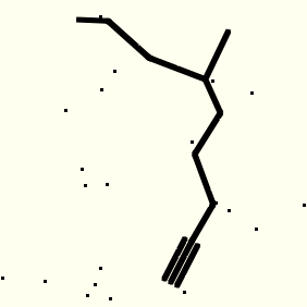 C#CCCCC(C)CCC